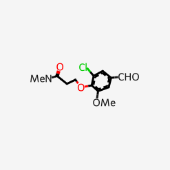 CNC(=O)CCOc1c(Cl)cc(C=O)cc1OC